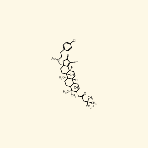 CC(=O)N(CCc1ccc(Cl)cc1)C[C@@]12CC[C@]3(C)[C@H](CC[C@@H]4[C@@]5(C)CC[C@H](OC(=O)CC(C)(C)C(=O)O)C(C)(C)C5CC[C@]43C)C1=C(C(C)C)C(=O)C2